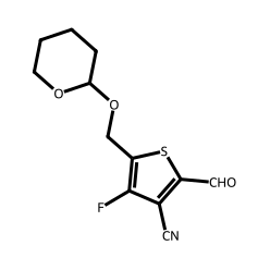 N#Cc1c(C=O)sc(COC2CCCCO2)c1F